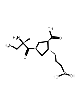 C[C@](N)(CN)C(=O)N1C[C@@H](CCCB(O)O)[C@H](C(=O)O)C1